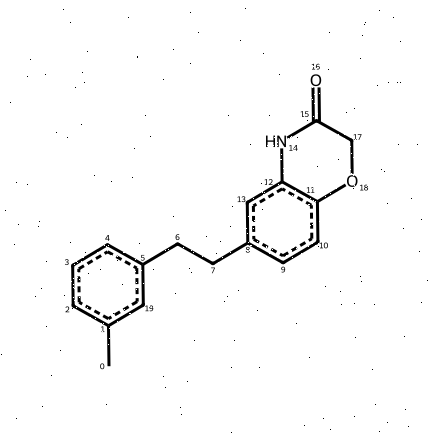 Cc1cccc(CCc2ccc3c(c2)NC(=O)CO3)c1